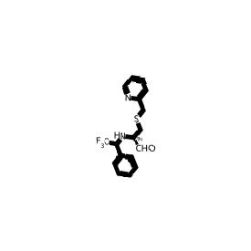 O=C[C@H](CSCc1ccccn1)NC(c1ccccc1)C(F)(F)F